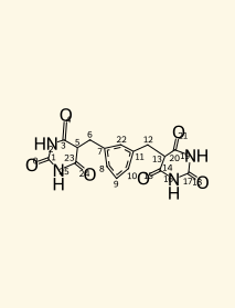 O=C1NC(=O)C(Cc2cccc(CC3C(=O)NC(=O)NC3=O)c2)C(=O)N1